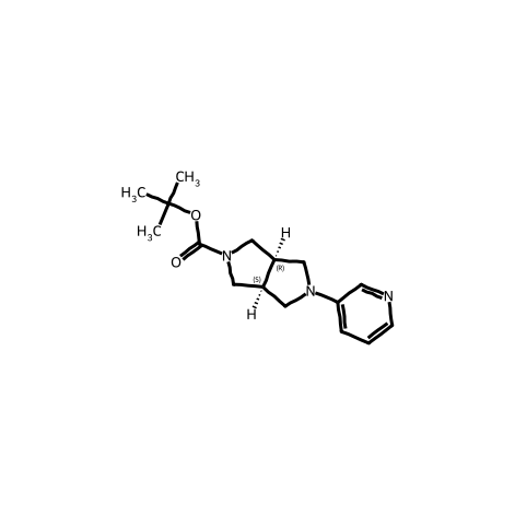 CC(C)(C)OC(=O)N1C[C@@H]2CN(c3cccnc3)C[C@@H]2C1